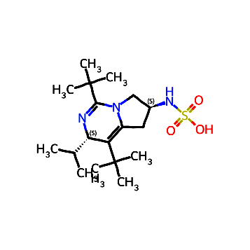 CC(C)[C@@H]1N=C(C(C)(C)C)N2C[C@@H](NS(=O)(=O)O)CC2=C1C(C)(C)C